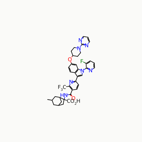 CC1CC2CC(C1)C(NC(=O)c1ccc(-c3cn(-c4ncccc4F)c4cc(OC5CCN(c6ncccn6)CC5)ccc34)nc1C(F)(F)F)(C(=O)O)C2